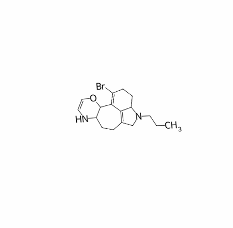 CCCN1CC2=C3C(=C(Br)CCC31)C1OC=CNC1CC2